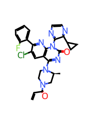 C=CC(=O)N1CCN(c2nc(=O)n(-c3nccnc3C3CC3)c3nc(-c4ccccc4F)c(Cl)cc23)[C@@H](C)C1